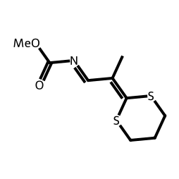 COC(=O)N=CC(C)=C1SCCCS1